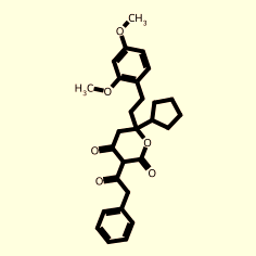 COc1ccc(CCC2(C3CCCC3)CC(=O)C(C(=O)Cc3ccccc3)C(=O)O2)c(OC)c1